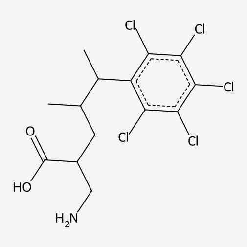 CC(CC(CN)C(=O)O)C(C)c1c(Cl)c(Cl)c(Cl)c(Cl)c1Cl